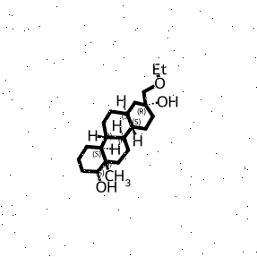 CCOC[C@@]1(O)CC[C@H]2[C@@H](CC[C@@H]3[C@@H]2CC[C@]2(C)[C@@H](O)CCC[C@@H]32)C1